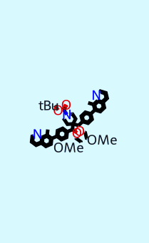 COCCOC(c1ccc(-c2ccc3cccnc3c2C)cc1)C1(C(OCCOC)c2ccc(-c3ccc4cccnc4c3C)cc2)CCN(C(=O)OC(C)(C)C)CC1